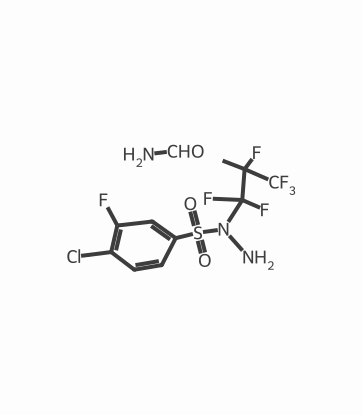 CC(F)(C(F)(F)F)C(F)(F)N(N)S(=O)(=O)c1ccc(Cl)c(F)c1.NC=O